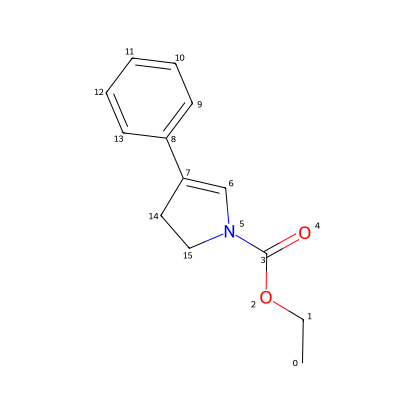 CCOC(=O)N1C=C(c2ccccc2)CC1